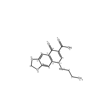 CCCNn1cc(C(=O)O)c(=O)c2cc3c(cc21)OCO3